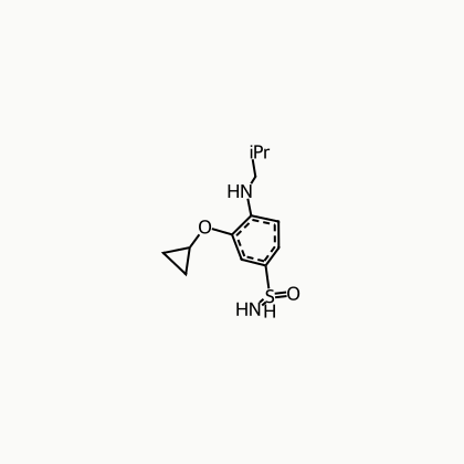 CC(C)CNc1ccc([SH](=N)=O)cc1OC1CC1